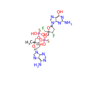 C[C@]1(COP(O)(O)=S)O[C@@H](n2cnc3c(N)ncnc32)C[C@@H]1OP(O)(=S)OC[C@@]1(CF)O[C@@H](n2cnc3c(O)nc(N)nc32)CC1F